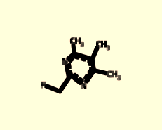 Cc1nc(CF)nc(C)c1C